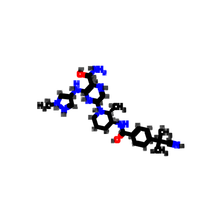 C[C@@H]1[C@H](NC(=O)c2ccc(C(C)(C)C#N)cc2)CCCN1c1cnc(C(N)=O)c(Nc2cnn(C)c2)n1